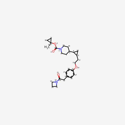 CC1(OC(=O)N2CCC(C3CC3CCOc3ccc(CC(=O)N4CCC4)cc3)CC2)CC1